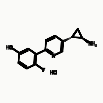 Cl.N[C@@H]1C[C@H]1c1ccc(-c2cc(O)ccc2F)nc1